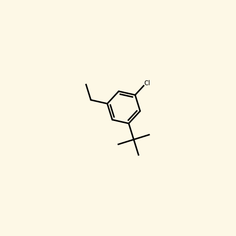 CCc1cc(Cl)cc(C(C)(C)C)c1